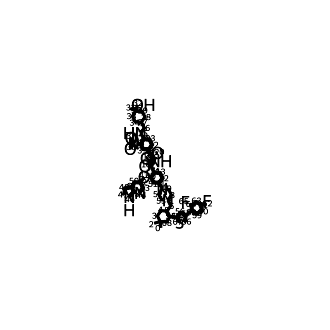 CC1(C)CCC(CN2CCN(c3ccc(C(=O)NS(=O)(=O)c4ccc(NCC5CCC(C)(O)CC5)c([N+](=O)[O-])c4)c(Oc4cnc5[nH]ccc5c4)c3)CC2)=C(c2cc(-c3ccc(F)cc3F)cs2)C1